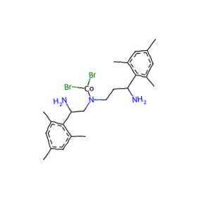 Cc1cc(C)c(C(N)CC[N](CC(N)c2c(C)cc(C)cc2C)[Co]([Br])[Br])c(C)c1